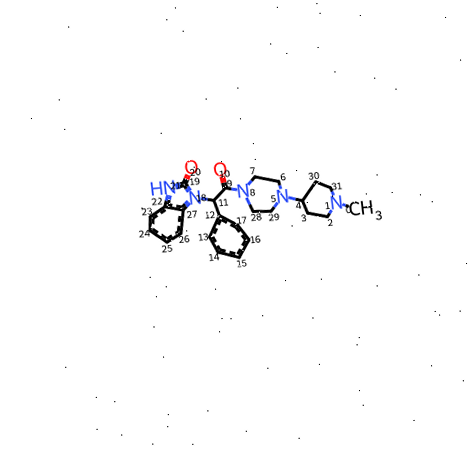 CN1CCC(N2CCN(C(=O)C(c3ccccc3)n3c(=O)[nH]c4ccccc43)CC2)CC1